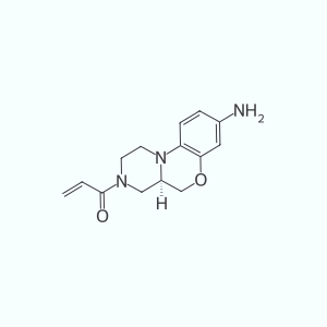 C=CC(=O)N1CCN2c3ccc(N)cc3OC[C@H]2C1